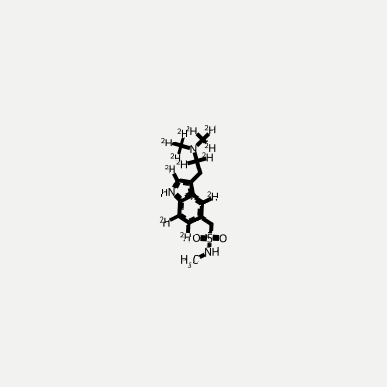 [2H]c1[nH]c2c([2H])c([2H])c(CS(=O)(=O)NC)c([2H])c2c1CC([2H])([2H])N(C([2H])([2H])[2H])C([2H])([2H])[2H]